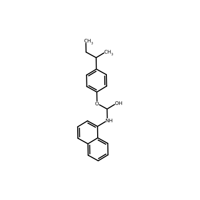 CCC(C)c1ccc(OC(O)Nc2cccc3ccccc23)cc1